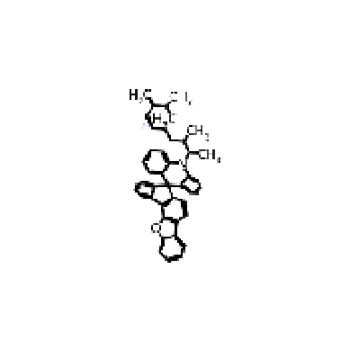 C=C(/C=C\CCC(C)C(C)N1c2ccccc2C2(c3ccccc3-c3c2ccc2c3oc3ccccc32)c2ccccc21)C(C)C